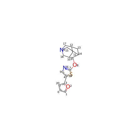 c1coc(-c2cnc(OC3C4CC5CC3CN(C5)C4)s2)c1